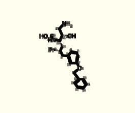 CC(C)[C@@H](Cc1cccc(OCc2ccccc2)c1)C[C@H](NC(=O)O)[C@@H](O)CN